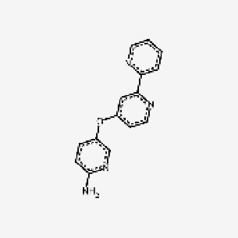 Nc1ccc(Oc2ccnc(-c3ccccn3)c2)cn1